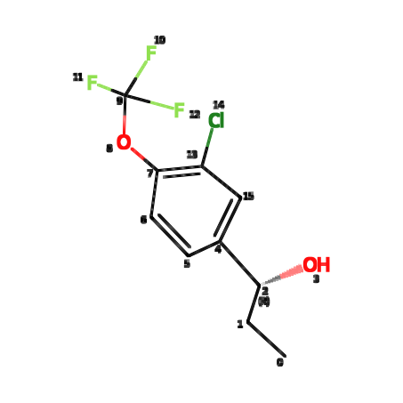 CC[C@@H](O)c1ccc(OC(F)(F)F)c(Cl)c1